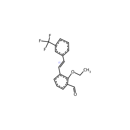 CCOc1c(C=O)cccc1/C=C/c1cccc(C(F)(F)F)c1